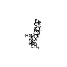 CS(=O)(=O)OC[C@@H]1C[C@H](Oc2ccc(OC(F)(F)F)cn2)CN1C(=O)O